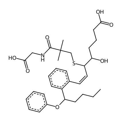 CCCCC(Oc1ccccc1)c1ccccc1C=CC(SCC(C)(C)C(=O)NCC(=O)O)C(O)CCCC(=O)O